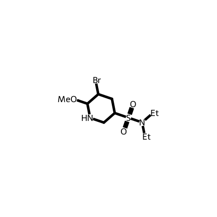 CCN(CC)S(=O)(=O)C1CNC(OC)C(Br)C1